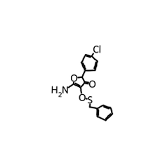 NC1=C(OSCc2ccccc2)C(=O)C(c2ccc(Cl)cc2)O1